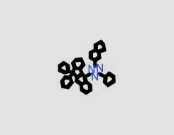 c1ccc(-c2nc(-c3ccc4ccccc4c3)nc(-c3c4c(cc5ccccc35)C(c3ccccc3)(c3ccccc3)c3ccccc3-4)n2)cc1